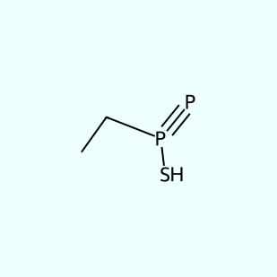 CCP(#P)S